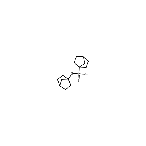 S=P(S)(SC12CCC(CC1)C2)C12CCC(CC1)C2